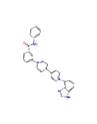 O=C(Nc1ccccc1)c1cccc(-[n+]2ccc(-c3cc[n+](-c4cccc5[nH]cnc45)cc3)cc2)c1